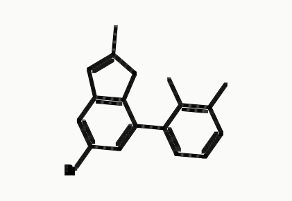 CC1=Cc2cc(Br)cc(-c3cccc(C)c3C)c2C1